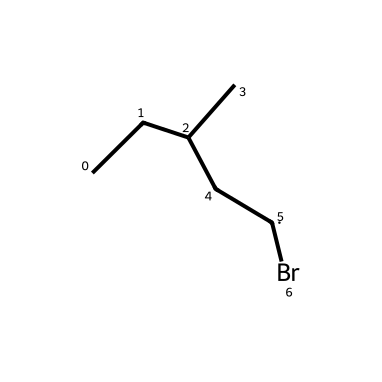 CCC(C)C[CH]Br